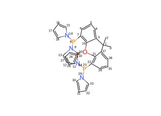 CC1(C)c2cccc(P(n3cccc3)n3cccc3)c2Oc2c(P(n3cccc3)n3cccc3)cccc21